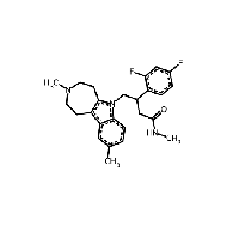 CNC(=O)CC(Cn1c2c(c3cc(C)ccc31)CCN(C)CC2)c1ccc(F)cc1F